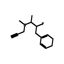 C#CCN(C)C(C)C(F)CC1=CCCC=C1